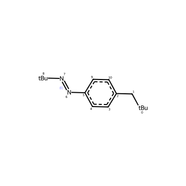 CC(C)(C)Cc1ccc(/N=N/C(C)(C)C)cc1